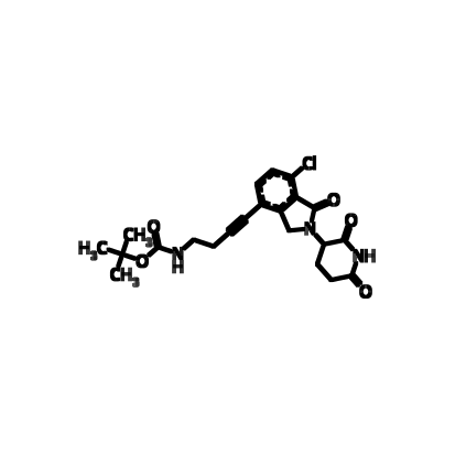 CC(C)(C)OC(=O)NCCC#Cc1ccc(Cl)c2c1CN(C1CCC(=O)NC1=O)C2=O